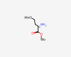 COCC[C@H](N)C(=O)OC(C)(C)C